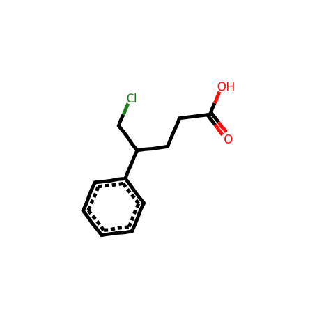 O=C(O)CCC(CCl)c1ccccc1